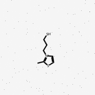 Cc1scc[n+]1CCCS